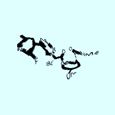 CNC(=O)[C@@H]1C[C@@H](O)CN1C(=O)[C@@H](n1cc(-c2cc(C)cnc2F)nn1)C(C)(C)C